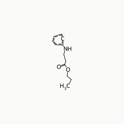 CCCOC(=O)CCNc1ccccc1